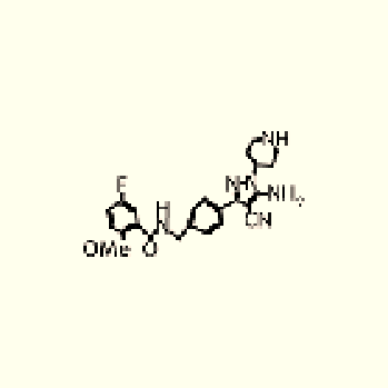 COc1ccc(F)cc1C(=O)NCc1ccc(-c2nn(C3CCNCC3)c(N)c2C#N)cc1